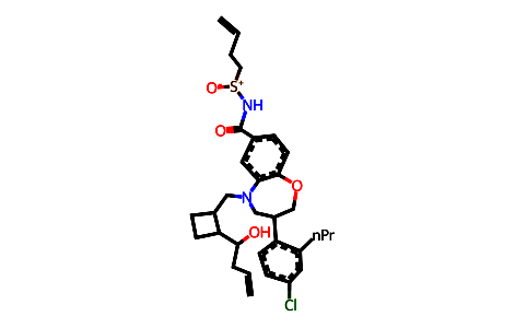 C=CCC[S+]([O-])NC(=O)c1ccc2c(c1)N(CC1CCC1C(O)CC=C)CC(c1ccc(Cl)cc1CCC)CO2